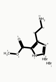 Br.Br.COC(=O)c1[nH]cnc1CCN